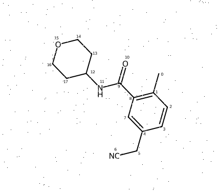 Cc1ccc(CC#N)cc1C(=O)NC1CCOCC1